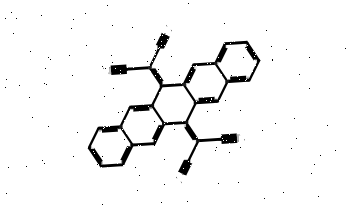 N#CC(C#N)=c1c2cc3ccccc3cc2c(=C(C#N)C#N)c2cc3ccccc3cc12